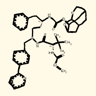 COC(=O)N[C@H](C(=O)NN(CC[C@H](Cc1ccccc1)NC(=O)OC1C2COC3OC1CC3C2)Cc1ccc(-c2ccccn2)cc1)C(C)(C)C